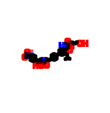 CC(C)Cc1cc(-c2ccc(CCN(C[C@@H](O)c3ccc([N+](=O)[O-])cc3)C(=O)O)cc2)ccc1C(=O)NS(=O)(=O)CCCO